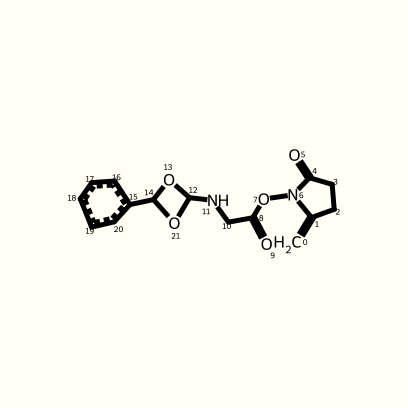 C=C1CCC(=O)N1OC(=O)CNC1OC(c2ccccc2)O1